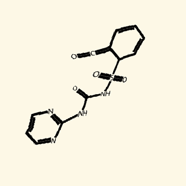 O=C=C1C=CC=CC1S(=O)(=O)NC(=O)Nc1ncccn1